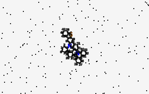 c1ccc(-n2c3cc4c(cc3c3ccc5c(c32)-c2ccccc2B2c3ccccc3-c3ccccc3N25)sc2ccccc24)cc1